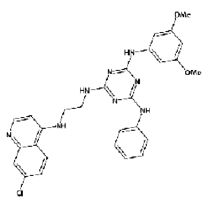 COc1cc(Nc2nc(NCCNc3ccnc4cc(Cl)ccc34)nc(Nc3ccccc3)n2)cc(OC)c1